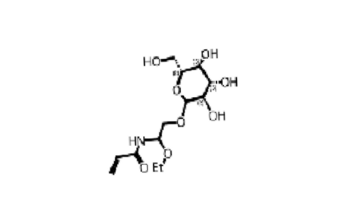 C=CC(=O)NC(COC1O[C@H](CO)[C@@H](O)[C@H](O)[C@H]1O)OCC